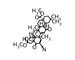 COC(=O)C[C@]1(C)C(=O)C(C#N)=C[C@]2(C)C3=CC(=O)[C@@H]4[C@@H]5CC(C)(C)CC[C@]5(C(=O)OC)CC[C@@]4(C)[C@]3(C)CC[C@H]21